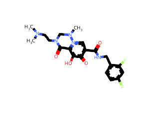 CN(C)CCN1CN(C)n2cc(C(=O)NCc3ccc(F)cc3F)c(=O)c(O)c2C1=O